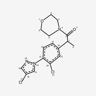 CC(C(=O)N1CCOCC1)c1ccc(-n2cc(Cl)cn2)c(Cl)c1